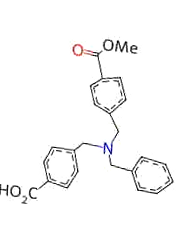 COC(=O)c1ccc(CN(Cc2ccccc2)Cc2ccc(C(=O)O)cc2)cc1